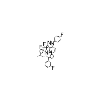 CC(C)C[C@H](NC(=O)C(F)(F)F)[C@@H](Oc1ccc2c(cnn2-c2ccc(F)cc2)c1)c1cccc(F)c1